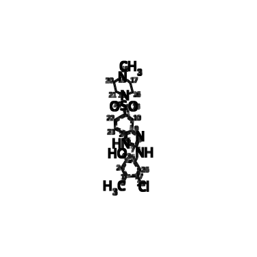 Cc1cc(O)c(Nc2nc3cc(S(=O)(=O)N4CCN(C)CC4)ccc3[nH]2)cc1Cl